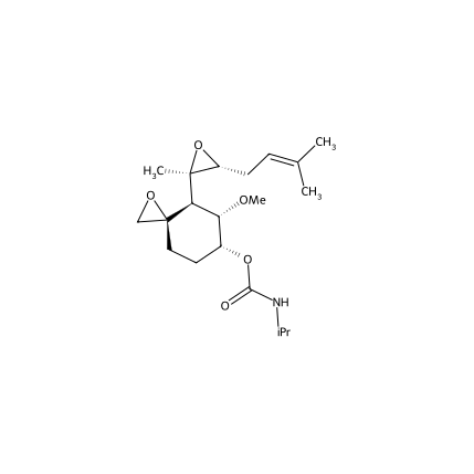 CO[C@@H]1[C@H](OC(=O)NC(C)C)CC[C@]2(CO2)[C@H]1[C@@]1(C)O[C@@H]1CC=C(C)C